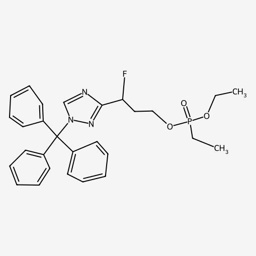 CCOP(=O)(CC)OCCC(F)c1ncn(C(c2ccccc2)(c2ccccc2)c2ccccc2)n1